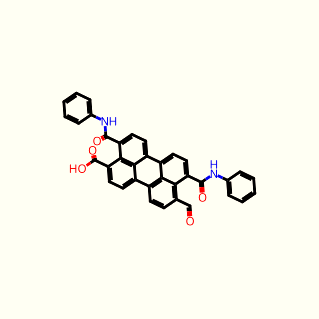 O=Cc1ccc2c3ccc(C(=O)O)c4c(C(=O)Nc5ccccc5)ccc(c5ccc(C(=O)Nc6ccccc6)c1c25)c43